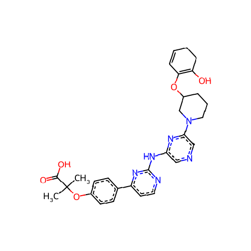 CC(C)(Oc1ccc(-c2ccnc(Nc3cncc(N4CCCC(OC5=C(O)CCC=C5)C4)n3)n2)cc1)C(=O)O